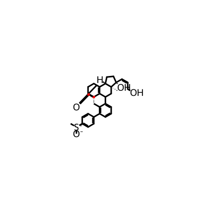 C[S+]([O-])c1ccc(-c2cccc3c2C[C@]24CCC(=O)C=C2CCC2=C4C3C[C@@]3(C)[C@H]2CC[C@@]3(O)/C=C\CO)cc1